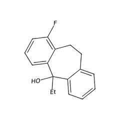 CCC1(O)c2ccccc2CCc2c(F)cccc21